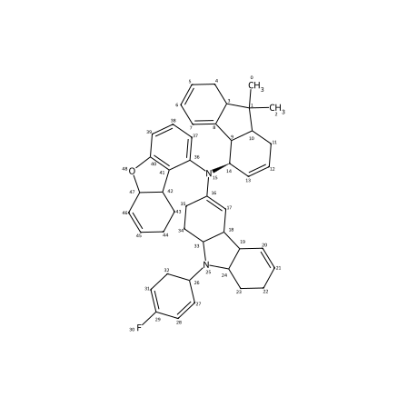 CC1(C)C2CC=CC=C2C2C1CC=C[C@H]2N(C1=CC2C3C=CCCC3N(C3C=CC(F)=CC3)C2CC1)c1cccc2c1C1CCC=CC1O2